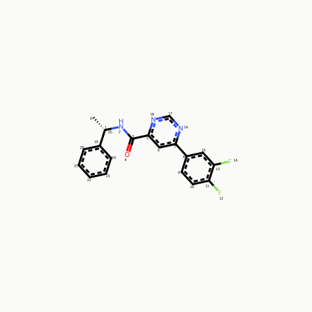 C[C@H](NC(=O)c1cc(-c2ccc(F)c(F)c2)ncn1)c1ccccc1